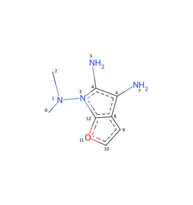 CN(C)n1c(N)c(N)c2ccoc21